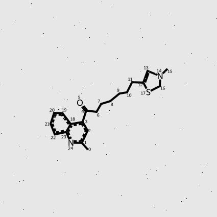 Cc1cc(C(=O)CCCCCCC2=CN(C)CS2)c2ccccc2n1